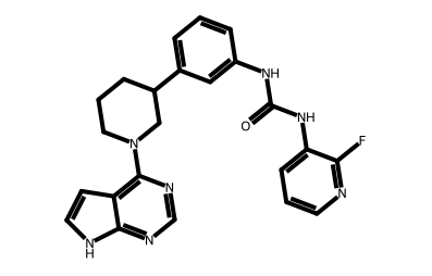 O=C(Nc1cccc(C2CCCN(c3ncnc4[nH]ccc34)C2)c1)Nc1cccnc1F